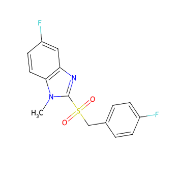 Cn1c(S(=O)(=O)Cc2ccc(F)cc2)nc2cc(F)ccc21